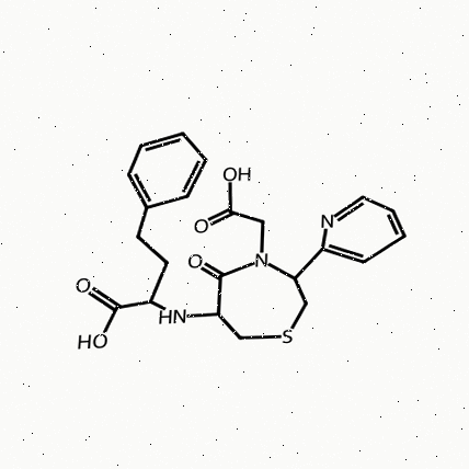 O=C(O)CN1C(=O)C(NC(CCc2ccccc2)C(=O)O)CSCC1c1ccccn1